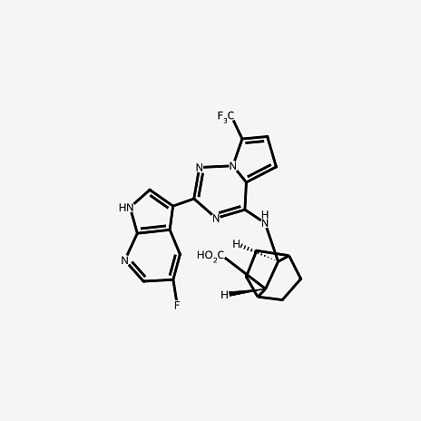 O=C(O)[C@H]1C2CCC(CC2)[C@@H]1Nc1nc(-c2c[nH]c3ncc(F)cc23)nn2c(C(F)(F)F)ccc12